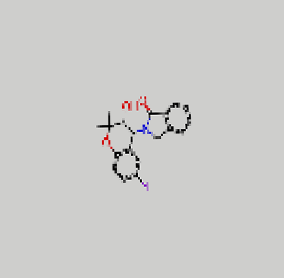 CC1(C)Oc2ccc(I)cc2[C@H](N2Cc3ccccc3C2=O)[C@H]1O